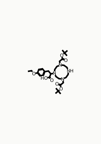 CCOc1ccc(CC(C(=O)O)N2CCN(CC(=O)OC(C)(C)C)CCNCCN(CC(=O)OC(C)(C)C)CC2)cc1